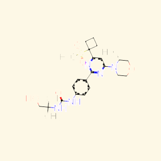 C[C@H]1COCCN1c1cc(C2(S(C)(=O)=O)CCC2)nc(-c2ccc(NC(=O)NC(C)(C)CO)cc2)n1